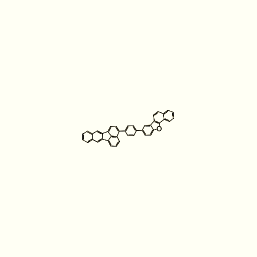 c1ccc2cc3c(cc2c1)-c1cccc2c(-c4ccc(-c5ccc6oc7c8ccccc8ccc7c6c5)cc4)ccc-3c12